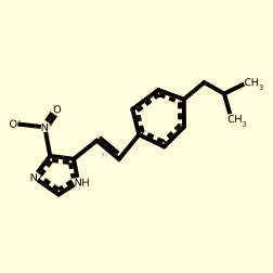 CC(C)Cc1ccc(/C=C/c2[nH]cnc2[N+](=O)[O-])cc1